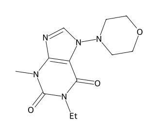 CCn1c(=O)c2c(ncn2N2CCOCC2)n(C)c1=O